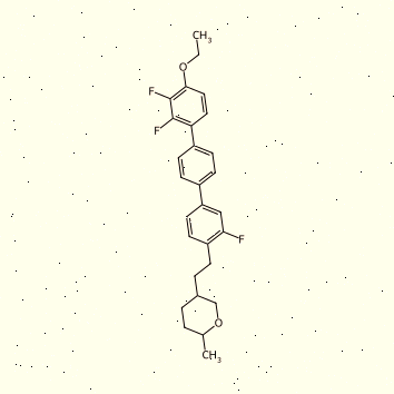 CCOc1ccc(-c2ccc(-c3ccc(CCC4CCC(C)OC4)c(F)c3)cc2)c(F)c1F